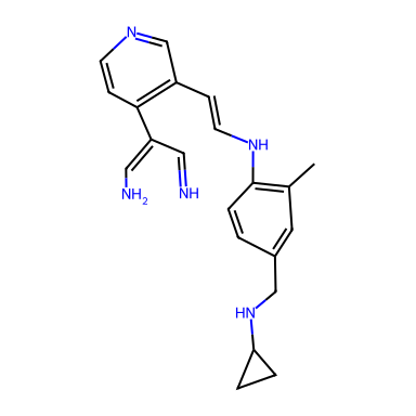 Cc1cc(CNC2CC2)ccc1N/C=C/c1cnccc1/C(C=N)=C/N